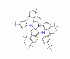 Cc1cc2c3c(c1)N(c1c(C)cc(C(C)(C)C)cc1-c1ccc4c(c1)C(C)(C)CCC4(C)C)c1c(ccc4c1C(C)(C)CCC4(C)C)B3c1sc3c(c1N2c1ccc(C(C)(C)C)cc1)C(C)(C)CCC3(C)C